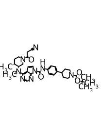 C[C@@H]1CCN(C(=O)CC#N)C[C@@H]1N(C)c1ncnc2c1ccn2C(=O)Nc1ccc(C2CCN(C(=O)OC(C)(C)C)CC2)cc1